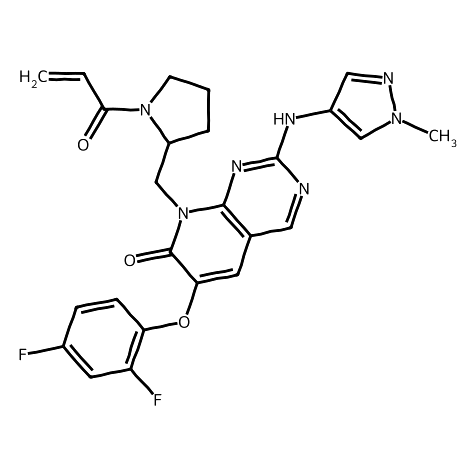 C=CC(=O)N1CCCC1Cn1c(=O)c(Oc2ccc(F)cc2F)cc2cnc(Nc3cnn(C)c3)nc21